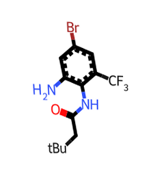 CC(C)(C)CC(=O)Nc1c(N)cc(Br)cc1C(F)(F)F